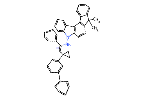 CC1(C)c2ccccc2-c2c1ccc1c2c2ccccc2n1N/C(=C\C1(c2cccc(-c3ccccc3)c2)CC1)c1ccccc1